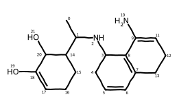 CC(NC1CC=CC2=C1C(N)=CCC2)C1CCC=C(O)C1O